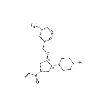 C=CC(=O)N1C[C@@H](N2CCN(C(C)=O)CC2)[C@H](OCc2cccc(C(F)(F)F)c2)C1